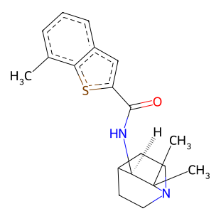 Cc1cccc2cc(C(=O)N[C@@H]3C4CCN(CC4)C3(C)C)sc12